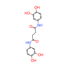 O=C(CCC(=O)Nc1ccc(O)c(O)c1)Nc1ccc(O)c(O)c1